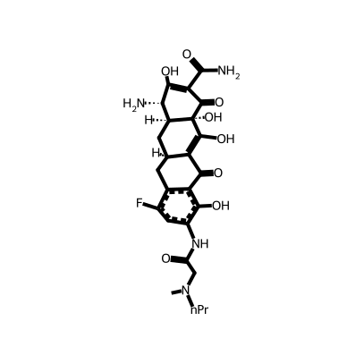 CCCN(C)CC(=O)Nc1cc(F)c2c(c1O)C(=O)C1=C(O)[C@]3(O)C(=O)C(C(N)=O)=C(O)[C@@H](N)[C@@H]3C[C@@H]1C2